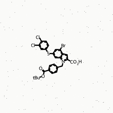 CC(C)(C)OC(=O)c1ccc(Cn2c(C(=O)O)cc3c(Br)cc(Sc4ccc(Cl)c(Cl)c4)cc32)cc1